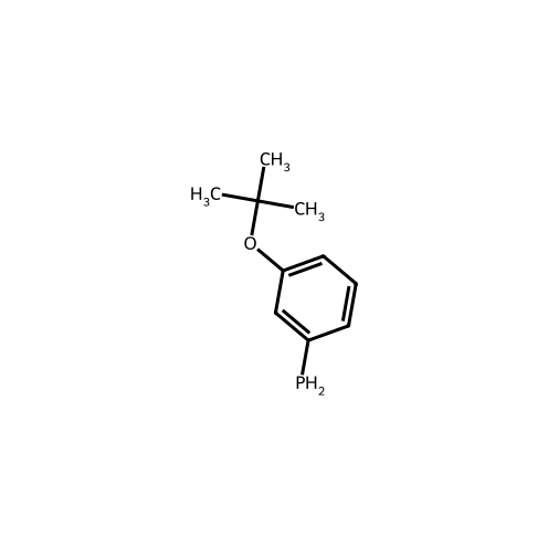 CC(C)(C)Oc1cccc(P)c1